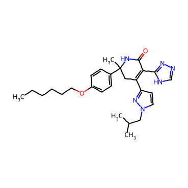 CCCCCCOc1ccc(C2(C)CC(c3ccn(CC(C)C)n3)=C(c3nnc[nH]3)C(=O)N2)cc1